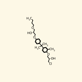 CCCCOC[C@@H](O)COc1ccc(C(C)(C)c2ccc(OC[C@H](O)CCl)c(C)c2)cc1